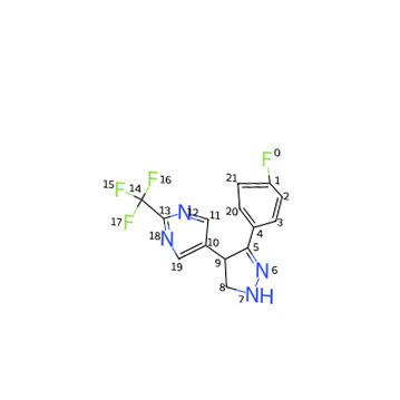 Fc1ccc(C2=NNCC2c2cnc(C(F)(F)F)nc2)cc1